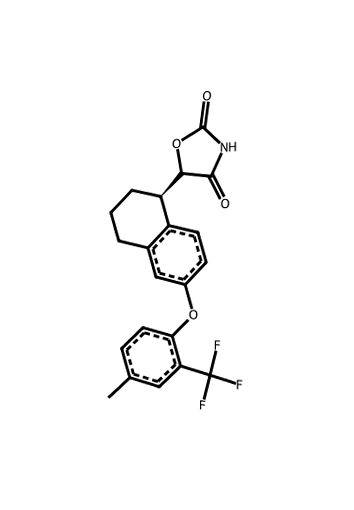 Cc1ccc(Oc2ccc3c(c2)CCC[C@H]3C2OC(=O)NC2=O)c(C(F)(F)F)c1